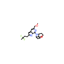 COCC1=CC2=CC(CCC(C)(F)F)=NC2C(N2C3CC4CC2CC(C3)O4)=N1